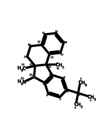 CC(C)(C)c1ccc2c(c1)C1(C)c3ccccc3CCC1(C)N2N